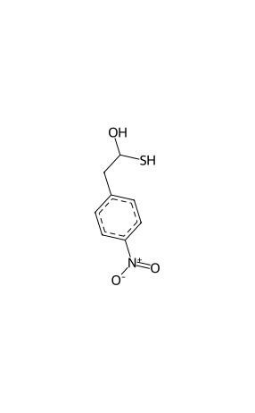 O=[N+]([O-])c1ccc(CC(O)S)cc1